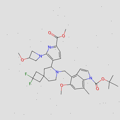 COC(=O)c1ccc(C2CC3(CCN2Cc2c(OC)cc(C)c4c2ccn4C(=O)OC(C)(C)C)CC(F)(F)C3)c(N2CC(OC)C2)n1